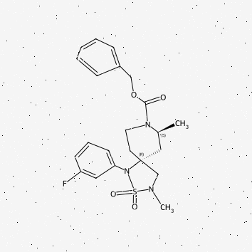 C[C@H]1C[C@]2(CCN1C(=O)OCc1ccccc1)CN(C)S(=O)(=O)N2c1cccc(F)c1